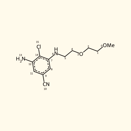 COCCOCCNc1cc(C#N)cc(N)c1Cl